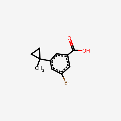 CC1(c2cc(Br)cc(C(=O)O)c2)CC1